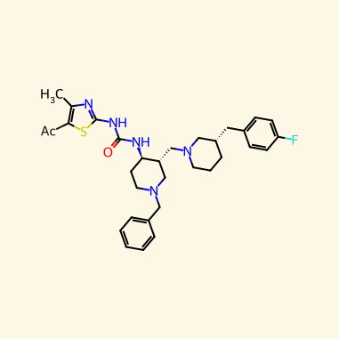 CC(=O)c1sc(NC(=O)N[C@@H]2CCN(Cc3ccccc3)C[C@H]2CN2CCC[C@@H](Cc3ccc(F)cc3)C2)nc1C